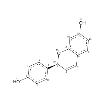 Oc1ccc([C@@H]2C=Cc3ccc(O)cc3O2)cc1